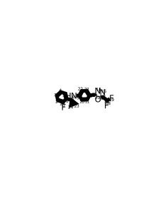 Fc1ccccc1C1(Nc2ccc(-c3nnc(C(F)F)o3)cc2)CC1